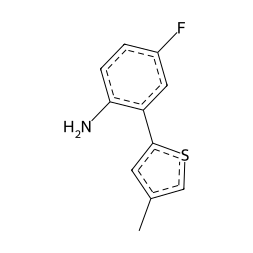 Cc1csc(-c2cc(F)ccc2N)c1